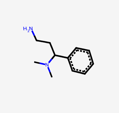 CN(C)C(CCN)c1ccccc1